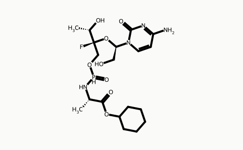 C[C@H](N[PH](=O)OC[C@@](F)(O[C@H](CO)n1ccc(N)nc1=O)[C@H](C)O)C(=O)OC1CCCCC1